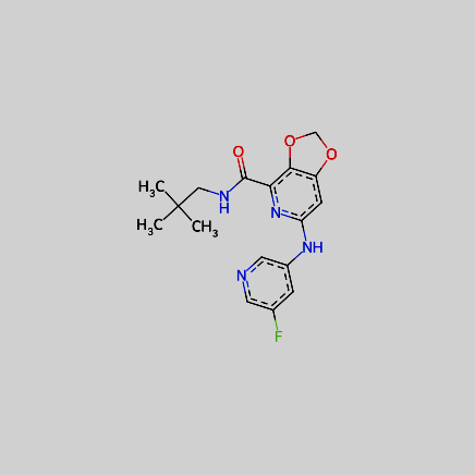 CC(C)(C)CNC(=O)c1nc(Nc2cncc(F)c2)cc2c1OCO2